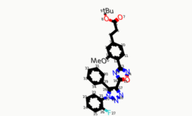 COc1cc(CCC(=O)OC(C)(C)C)ccc1-c1noc(-c2nnn(-c3ccccc3F)c2-c2ccccc2)n1